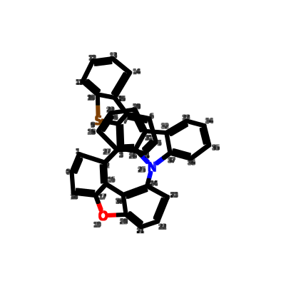 c1cc(-c2cccc3c2sc2ccccc23)c2c(c1)oc1cccc(-n3c4ccccc4c4ccccc43)c12